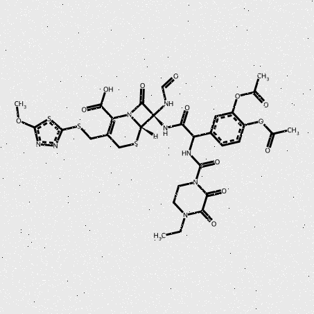 CCN1CCN(C(=O)NC(C(=O)N[C@]2(NC=O)C(=O)N3C(C(=O)O)=C(CSc4nnc(OC)s4)CS[C@H]32)c2ccc(OC(C)=O)c(OC(C)=O)c2)C(=O)C1=O